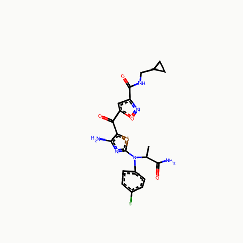 CC(C(N)=O)N(c1ccc(F)cc1)c1nc(N)c(C(=O)c2cc(C(=O)NCC3CC3)no2)s1